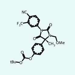 COCN1C(=O)N(c2ccc(C#N)c(C(F)(F)F)c2)C(=O)[C@@]1(C)c1ccc(OC(=O)OC(C)(C)C)cc1